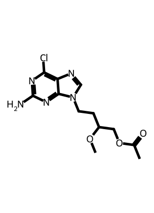 COC(CCn1cnc2c(Cl)nc(N)nc21)COC(C)=O